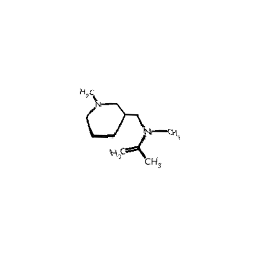 C=C(C)N(C)CC1CCCN(C)C1